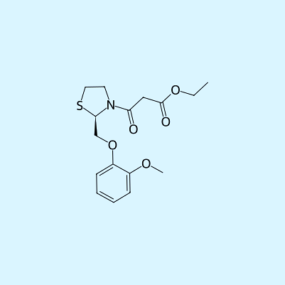 CCOC(=O)CC(=O)N1CCS[C@@H]1COc1ccccc1OC